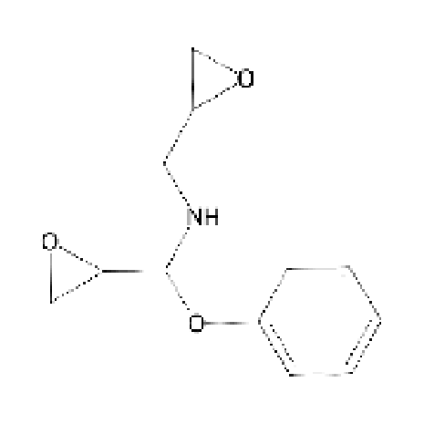 c1ccc(OC(NCC2CO2)C2CO2)cc1